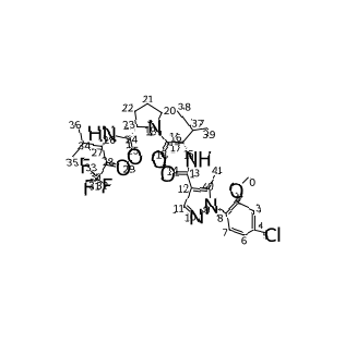 COc1cc(Cl)ccc1-n1ncc(C(=O)N[C@H](C(=O)N2CCC[C@H]2C(=O)N[C@H](C(=O)C(F)(F)F)C(C)C)C(C)C)c1C